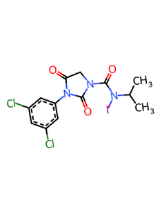 CC(C)N(I)C(=O)N1CC(=O)N(c2cc(Cl)cc(Cl)c2)C1=O